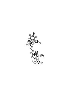 COCCCN(CCCCNS(=O)(=O)c1ccc(F)cc1C(F)(F)F)C(=O)NC(C)C